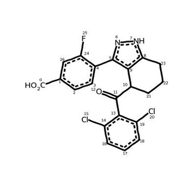 O=C(O)c1ccc(-c2n[nH]c3c2C(C(=O)c2c(Cl)cccc2Cl)CCC3)c(F)c1